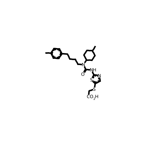 Cc1ccc(CCCCN(C(=O)Nc2ncc(SCC(=O)O)s2)C2CCC(C)CC2)cc1